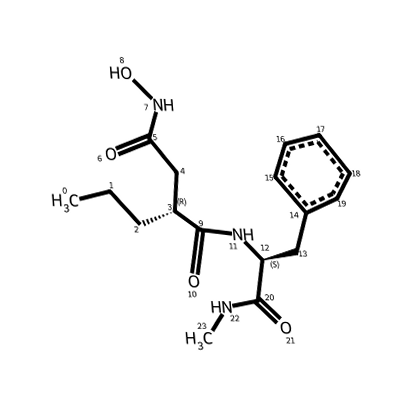 CCC[C@H](CC(=O)NO)C(=O)N[C@@H](Cc1ccccc1)C(=O)NC